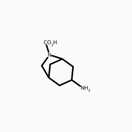 NC1CC2CC(C1)N(C(=O)O)C2